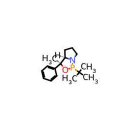 CC(C)(C)P1O[C@@](C)(c2ccccc2)[C@H]2CCCN21